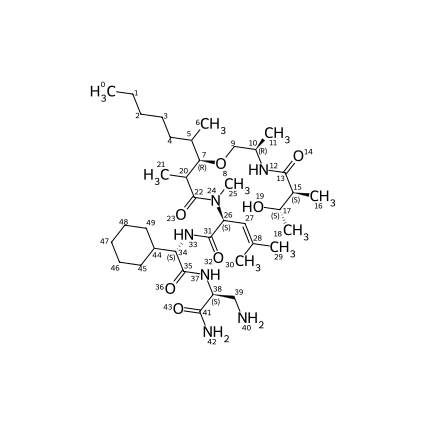 CCCCCC(C)[C@@H](OC[C@@H](C)NC(=O)[C@@H](C)[C@H](C)O)C(C)C(=O)N(C)[C@@H](C=C(C)C)C(=O)N[C@H](C(=O)N[C@@H](CN)C(N)=O)C1CCCCC1